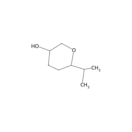 CC(C)C1CCC(O)CO1